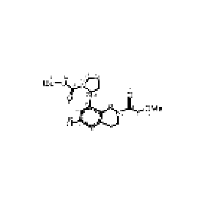 COCC(=O)N1CCc2cc(Cl)cc([C@@H]3CCCN3C(=O)OC(C)(C)C)c2C1